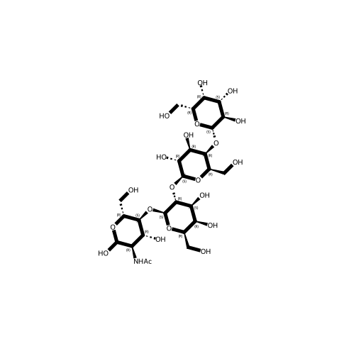 CC(=O)N[C@H]1C(O)O[C@H](CO)[C@@H](O[C@@H]2O[C@H](CO)[C@H](O)[C@H](O)[C@H]2O[C@@H]2O[C@H](CO)[C@H](O[C@@H]3O[C@H](CO)[C@H](O)[C@H](O)[C@H]3O)[C@H](O)[C@H]2O)[C@@H]1O